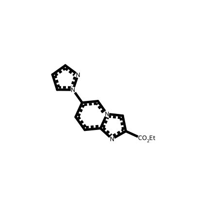 CCOC(=O)c1cn2cc(-n3cccn3)ccc2n1